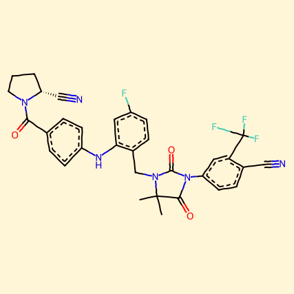 CC1(C)C(=O)N(c2ccc(C#N)c(C(F)(F)F)c2)C(=O)N1Cc1ccc(F)cc1Nc1ccc(C(=O)N2CCC[C@@H]2C#N)cc1